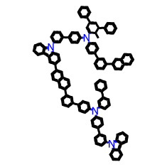 CC1C(N(c2ccc(-c3cccc(-c4ccc5ccccc5c4)c3)cc2)c2ccc(-c3cccc(-n4c5ccccc5c5cc(-c6ccc7cc(-c8cccc(-c9ccc(N(c%10ccc(-c%11cccc(-n%12c%13ccccc%13c%13ccccc%13%12)c%11)cc%10)c%10cccc(-c%11ccccc%11)c%10)cc9)c8)ccc7c6)ccc54)c3)cc2)=CC(c2ccccc2)=CC1c1ccccc1